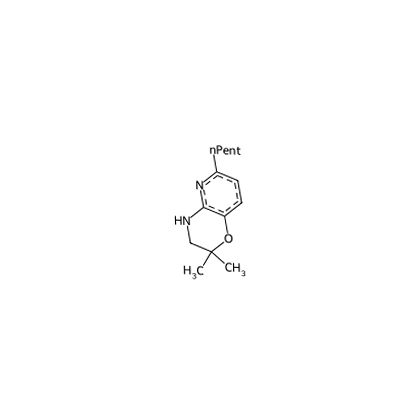 CCCCCc1ccc2c(n1)NCC(C)(C)O2